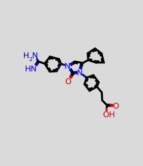 N=C(N)c1ccc(-n2cc(-c3ccccc3)n(-c3ccc(CCC(=O)O)cc3)c2=O)cc1